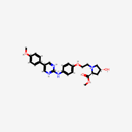 COC(=O)[C@@H]1C[C@@H](O)CN1CCOc1ccc(Nc2ncc(-c3ccc(OC)cc3)cn2)cc1